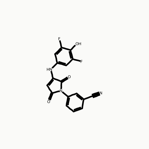 N#Cc1cccc(N2C(=O)C=C(Nc3cc(F)c(O)c(F)c3)C2=O)c1